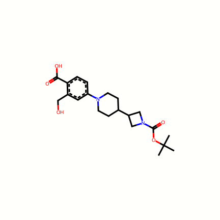 CC(C)(C)OC(=O)N1CC(C2CCN(c3ccc(C(=O)O)c(CO)c3)CC2)C1